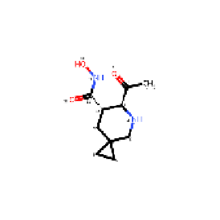 CC(=O)[C@H]1NCC2(CC2)C[C@@H]1C(=O)NO